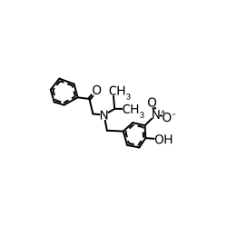 CC(C)N(CC(=O)c1ccccc1)Cc1ccc(O)c([N+](=O)[O-])c1